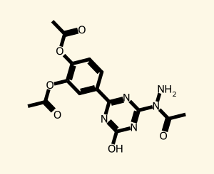 CC(=O)Oc1ccc(-c2nc(O)nc(N(N)C(C)=O)n2)cc1OC(C)=O